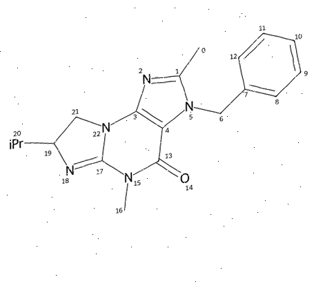 Cc1nc2c(n1Cc1ccccc1)C(=O)N(C)C1=NC(C(C)C)CN12